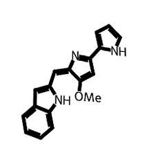 COC1=CC(c2ccc[nH]2)=NC1=Cc1cc2ccccc2[nH]1